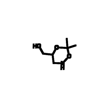 CC1(C)ONCC(CO)O1